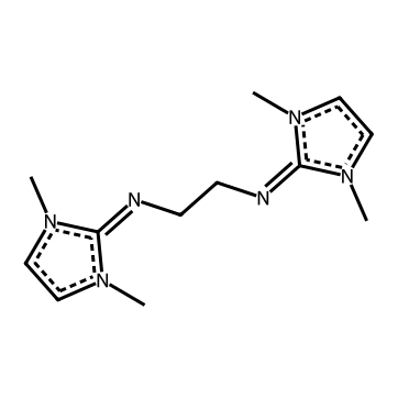 Cn1ccn(C)c1=NCCN=c1n(C)ccn1C